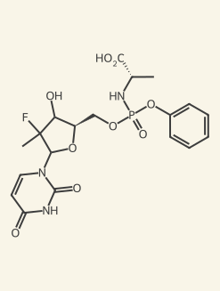 C[C@H](NP(=O)(OC[C@H]1OC(n2ccc(=O)[nH]c2=O)C(C)(F)C1O)Oc1ccccc1)C(=O)O